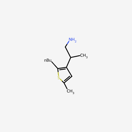 CCCCc1sc(C)cc1C(C)CN